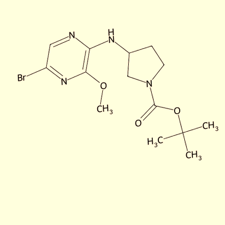 COc1nc(Br)cnc1NC1CCN(C(=O)OC(C)(C)C)C1